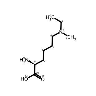 CCN(C)CCCC[C@H](N)C(=O)O